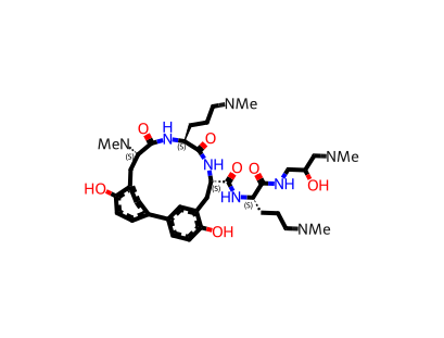 CNCCC[C@H](NC(=O)[C@@H]1Cc2cc(ccc2O)-c2ccc(O)c(c2)C[C@H](NC)C(=O)N[C@@H](CCCNC)C(=O)N1)C(=O)NCC(O)CNC